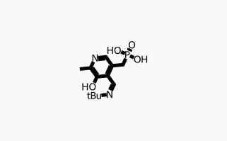 Cc1ncc(CP(=O)(O)O)c(/C=N\C(C)(C)C)c1O